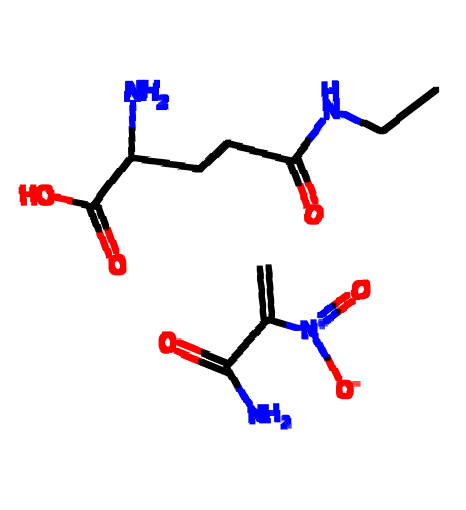 C=C(C(N)=O)[N+](=O)[O-].CCNC(=O)CCC(N)C(=O)O